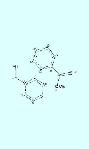 C=Cc1ccccc1.COC(=S)c1ccccc1